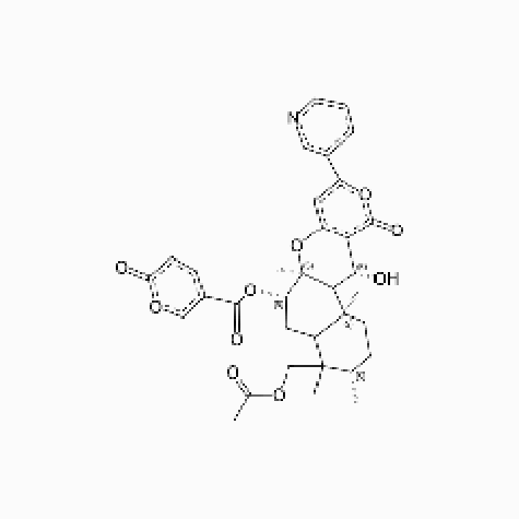 CC(=O)OCC1(C)C2C[C@H](OC(=O)c3ccc(=O)oc3)[C@@]3(C)Oc4cc(-c5cccnc5)oc(=O)c4[C@H](O)C3[C@@]2(C)CC[C@@H]1C